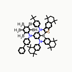 Bc1c(B)c(B)c(N(c2ccc(-c3ccccc3)cc2)c2cc3c4c(c2)N(c2ccc(C(C)(C)C)cc2)c2c(sc5cc6c(cc25)C(C)(C)CCC6(C)C)B4c2cc4c(cc2N3c2ccc3c(c2)C(C)(C)CCC3(C)C)C(C)(C)CCC4(C)C)c(B)c1B